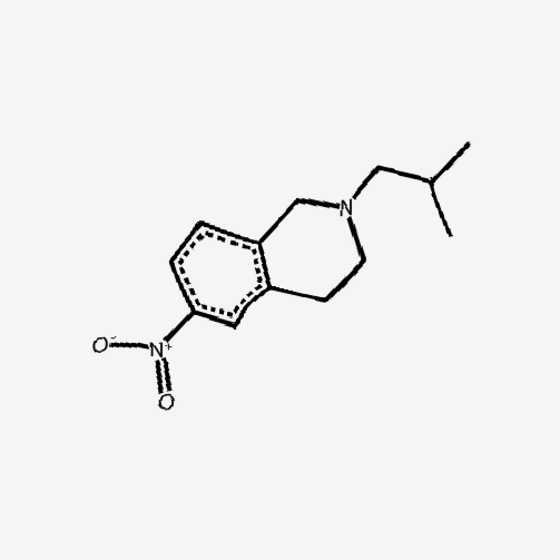 C[C](C)CN1CCc2cc([N+](=O)[O-])ccc2C1